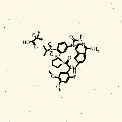 COC(=O)Nc1ccc(S(=O)(=O)C(C)C)c([C@H]2CCCN2C(=O)[C@H](Nc2ccc3c(N)nccc3c2)c2cc(OC)c(OC)cc2F)c1.O=C(O)C(F)(F)F